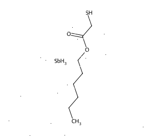 CCCCCCOC(=O)CS.[SbH3]